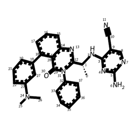 C[C@@H](Nc1nc(N)ncc1C#N)c1nc2cccc(-c3cccc(N(C)C)c3)c2c(=O)n1-c1ccccc1